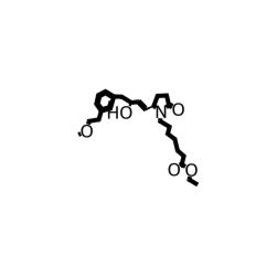 CCOC(=O)CCCCCCN1C(=O)CC[C@@H]1C=C[C@@H](O)Cc1cccc(CCOC)c1